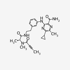 CC#CC(=O)N(C)[C@@H](C)C(=O)NCCc1cccc(Nc2nc(C3CC3)c(C)nc2C(N)=O)c1